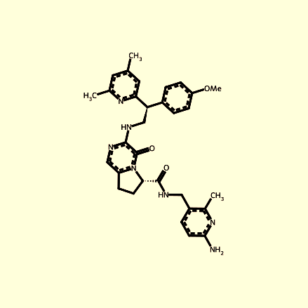 COc1ccc([C@@H](CNc2ncc3n(c2=O)[C@H](C(=O)NCc2ccc(N)nc2C)CC3)c2cc(C)cc(C)n2)cc1